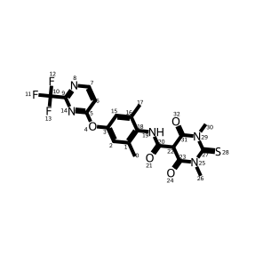 Cc1cc(Oc2ccnc(C(F)(F)F)n2)cc(C)c1NC(=O)C1C(=O)N(C)C(=S)N(C)C1=O